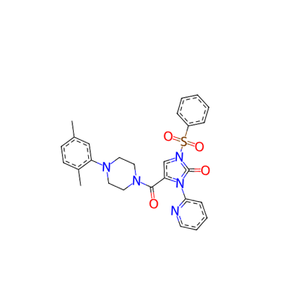 Cc1ccc(C)c(N2CCN(C(=O)c3cn(S(=O)(=O)c4ccccc4)c(=O)n3-c3ccccn3)CC2)c1